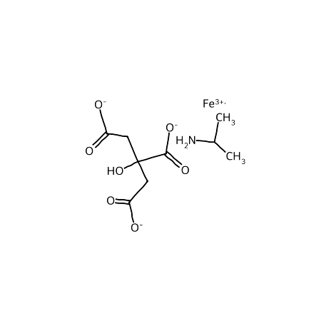 CC(C)N.O=C([O-])CC(O)(CC(=O)[O-])C(=O)[O-].[Fe+3]